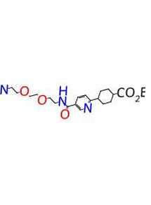 CCOC(=O)C1CCC(c2ccc(C(=O)NCCOCCOCCN)cn2)CC1